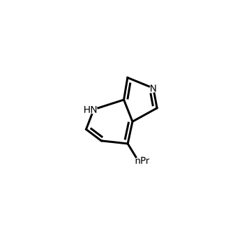 CCCc1cc[nH]c2cncc1-2